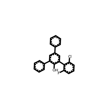 Oc1c(-c2ccccc2)cc(-c2ccccc2)cc1-c1c(F)cccc1Cl